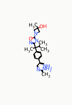 C=C(N)/N=C\C(=C/N)c1ccc(C(C)(c2noc(N3CC(C)(O)C3)n2)C(C)C)cc1